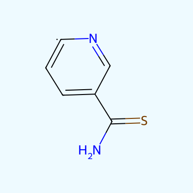 NC(=S)c1cc[c]nc1